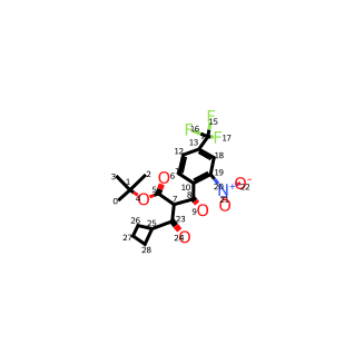 CC(C)(C)OC(=O)C(C(=O)c1ccc(C(F)(F)F)cc1[N+](=O)[O-])C(=O)C1CCC1